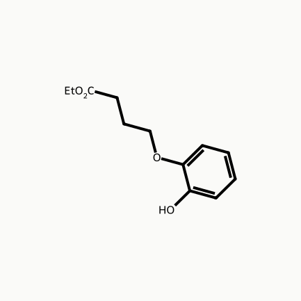 CCOC(=O)CCCOc1ccccc1O